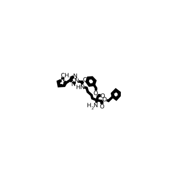 Cn1cccc1-c1cnn(C(=O)NCCCCC(N)(C(=O)OCc2ccccc2)C(=O)OCc2ccccc2)n1